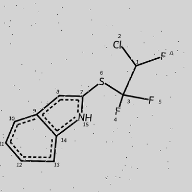 FC(Cl)C(F)(F)Sc1cc2ccccc2[nH]1